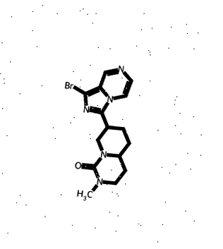 CN1CCC2CCC(c3nc(Br)c4cnccn34)CN2C1=O